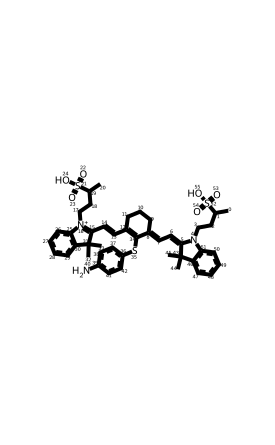 CC(CCN1/C(=C/C=C2\CCCC(/C=C/C3=[N+](CCC(C)S(=O)(=O)O)c4ccccc4C3(C)C)=C2Sc2ccc(N)cc2)C(C)(C)c2ccccc21)S(=O)(=O)O